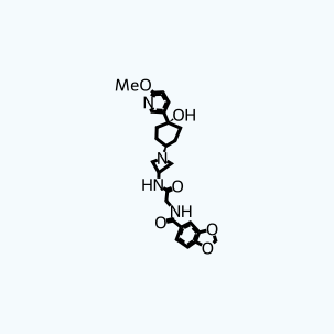 COc1ccc([C@]2(O)CC[C@H](N3CC(NC(=O)CNC(=O)c4ccc5c(c4)OCO5)C3)CC2)cn1